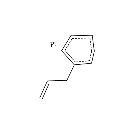 C=CCc1ccccc1.[P]